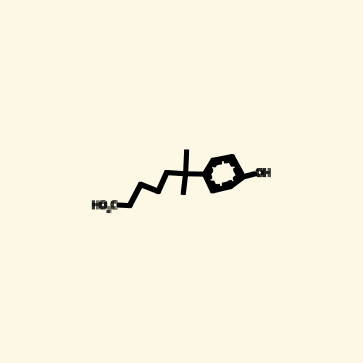 CC(C)(CCCCC(=O)O)c1ccc(O)cc1